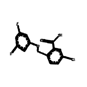 O=C(O)c1cc(Cl)ccc1COc1cc(F)cc(F)c1